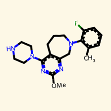 COc1nc2c(c(N3CCNCC3)n1)CCCN(c1c(C)cccc1F)C2